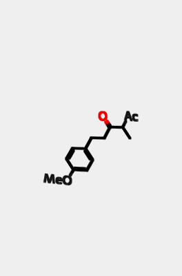 COc1ccc(CCC(=O)C(C)C(C)=O)cc1